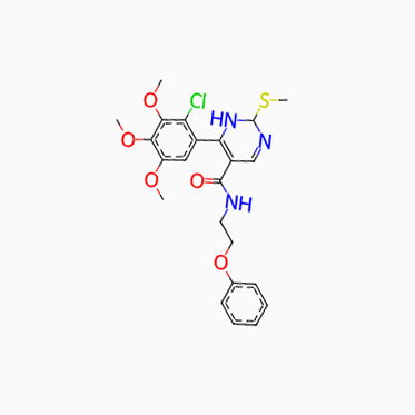 COc1cc(C2=C(C(=O)NCCOc3ccccc3)C=NC(SC)N2)c(Cl)c(OC)c1OC